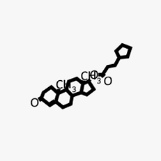 CC12CCC(=O)C=C1CCC1C2CCC2(C)C(OC(=O)CCC3CCCC3)CCC12